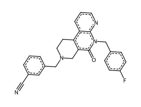 N#Cc1cccc(CN2CCc3c(c(=O)n(Cc4ccc(F)cc4)c4ncccc34)C2)c1